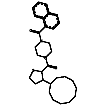 O=C(c1cccc2ccccc12)N1CCN(C(=O)C2SCCC2C2CCCCCCCCC2)CC1